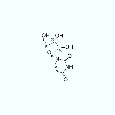 O=c1ccn([C@@H]2O[C@H](CO)[C@H](O)[C@H]2O)c(=O)[nH]1